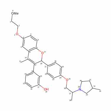 COCCOc1ccc2c(c1)C(C)=C(c1cccc(O)c1)C(c1ccc(OCC(C)N3CCC(C)C3)cc1)O2